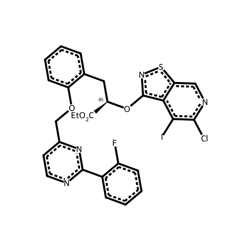 CCOC(=O)[C@@H](Cc1ccccc1OCc1ccnc(-c2ccccc2F)n1)Oc1nsc2cnc(Cl)c(I)c12